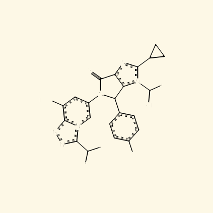 Cc1cc(N2C(=O)c3nc(C4CC4)n(C(C)C)c3C2c2ccc(Cl)cc2)cn2c(C(F)F)nnc12